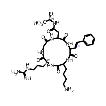 CC[C@@H](NC(=O)CC1NC(=O)CNC(=O)[C@H](CCCNC(=N)N)NC(=O)C(CCCCN)NC(=O)C(/C=C/c2ccccc2)NC1=O)C(=O)O